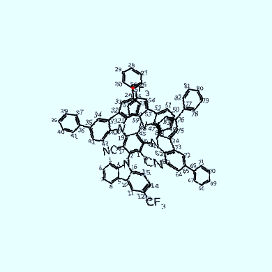 N#Cc1c(-n2c3ccccc3c3cc(C(F)(F)F)ccc32)c(C#N)c(-n2c3ccc(-c4ccccc4)cc3c3cc(-c4ccccc4)ccc32)c(-n2c3ccccc3c3cc(C(F)(F)F)ccc32)c1-n1c2ccc(-c3ccccc3)cc2c2cc(-c3ccccc3)ccc21